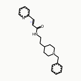 O=C(/C=C/c1ccccn1)NCCC1CCN(Cc2ccccc2)CC1